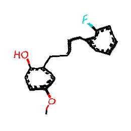 COc1ccc(O)c(CC=Cc2ccccc2F)c1